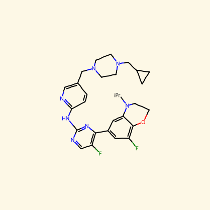 CC(C)N1CCOc2c(F)cc(-c3nc(Nc4ccc(CN5CCN(CC6CC6)CC5)cn4)ncc3F)cc21